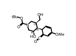 COC1=CC(=C=O)C([C@@H]2[C@H](CO)CN(C(=O)OC(C)(C)C)C[C@@H]2O)C=C1